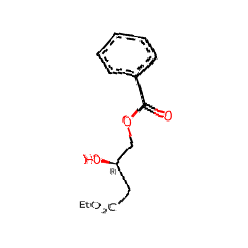 CCOC(=O)C[C@@H](O)COC(=O)c1ccccc1